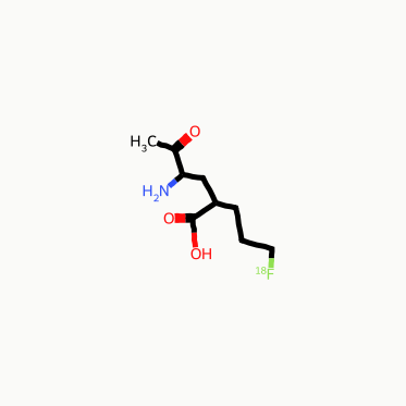 CC(=O)C(N)CC(CCC[18F])C(=O)O